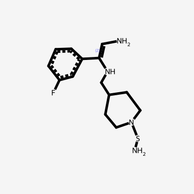 N/C=C(\NCC1CCN(SN)CC1)c1cccc(F)c1